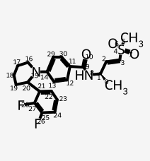 C[C@H](/C=C/S(C)(=O)=O)NC(=O)c1ccc(N2CCCCC2c2cccc(F)c2F)cc1